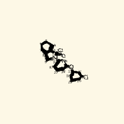 O=S1(=O)c2ccccc2CN1c1cccc(Oc2cccc(Cl)c2)n1